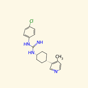 Cc1ccncc1[C@H]1CC[C@@H](NC(=N)Nc2ccc(Cl)cc2)CC1